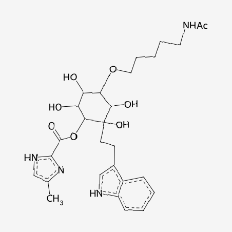 CC(=O)NCCCCCOC1C(O)C(O)C(OC(=O)c2nc(C)c[nH]2)C(O)(CCc2c[nH]c3ccccc23)C1O